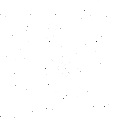 Nc1nc(C#CCC2CCN(C(=O)Nc3ccc(Cl)cc3)CC2)nc2c1ncn2[C@@H]1O[C@H](C(=O)NC2CC2)C(O)[C@@H]1O